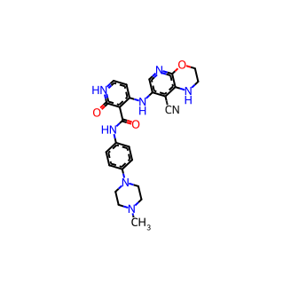 CN1CCN(c2ccc(NC(=O)c3c(Nc4cnc5c(c4C#N)NCCO5)cc[nH]c3=O)cc2)CC1